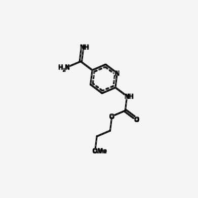 COCCOC(=O)Nc1ccc(C(=N)N)cn1